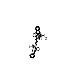 NC1(C(=O)NCCCCNC(=O)OCc2ccccc2)Cc2ccccc2C1